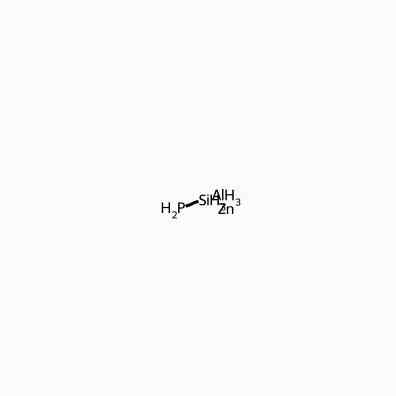 [AlH3].[SiH3]P.[Zn]